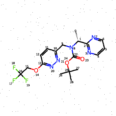 C[C@H](c1ncccn1)N(Cc1ccc(OCC(F)(F)F)nn1)C(=O)OC(C)(C)C